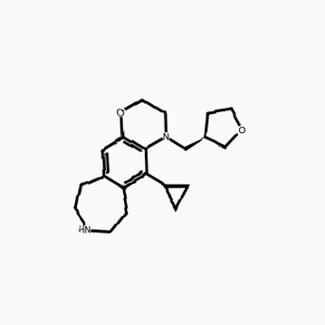 c1c2c(c(C3CC3)c3c1OCCN3C[C@H]1CCOC1)CCNCC2